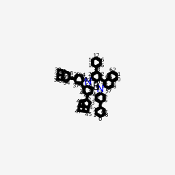 c1ccc(-c2ccc(N3B4c5c(cc(-c6ccccc6)cc5-n5c6ccc(C78CC9CC%10CC(C7)C%109C8)cc6c6cc(C78CC9CC%10CC(C7)C%109C8)cc4c65)-c4c3ccc3ccccc43)cc2)cc1